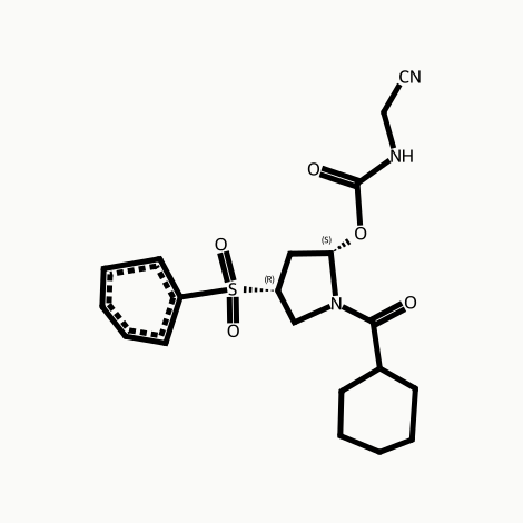 N#CCNC(=O)O[C@H]1C[C@@H](S(=O)(=O)c2ccccc2)CN1C(=O)C1CCCCC1